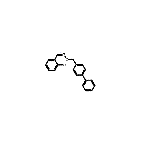 Clc1ccccc1/[C]=N\OCc1ccc(-c2ccccc2)cc1